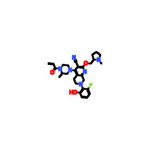 C=CC(=O)N1CCN(c2c(C#N)c(OCC3CCCN3C)nc3c2CCN(c2c(O)cccc2F)C3)CC1C